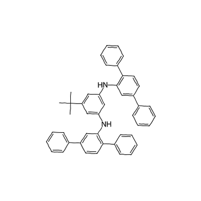 CC(C)(C)c1cc(Nc2cc(-c3ccccc3)ccc2-c2ccccc2)cc(Nc2cc(-c3ccccc3)ccc2-c2ccccc2)c1